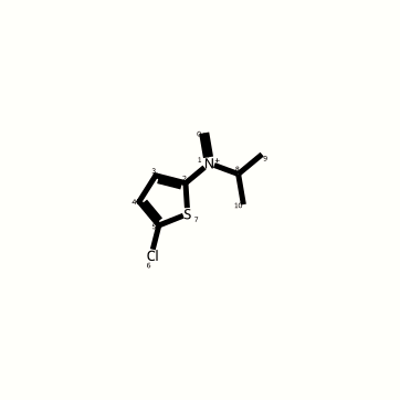 C=[N+](c1ccc(Cl)s1)C(C)C